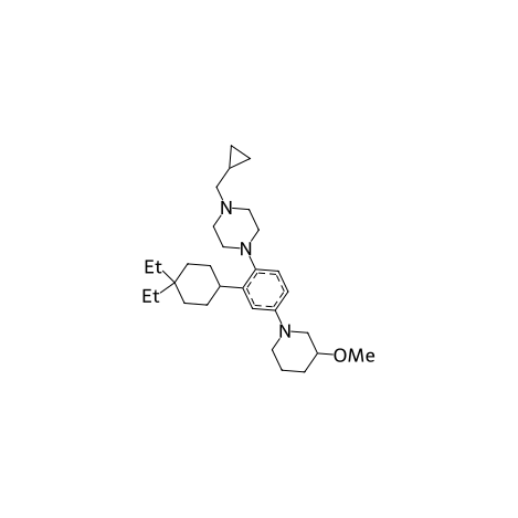 CCC1(CC)CCC(c2cc(N3CCCC(OC)C3)ccc2N2CCN(CC3CC3)CC2)CC1